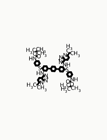 CC(C)c1ccc2c(Nc3cc(-c4ccc(-c5ccc(Sc6ccc(NC(=O)OC(C)(C)C)cc6)c(Nc6ncnc7nc(C(C)C)ccc67)c5)cc4)ccc3Sc3ccc(NC(=O)OC(C)(C)C)cc3)ncnc2n1